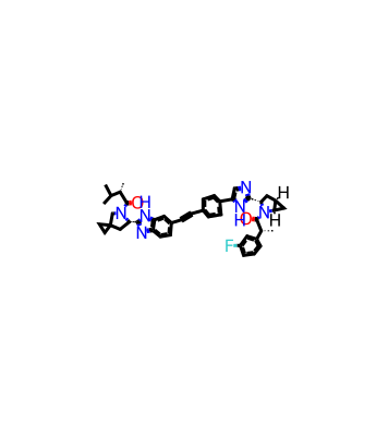 CC(C)[C@H](C)C(=O)N1CC2(CC2)C[C@H]1c1nc2ccc(C#Cc3ccc(-c4cnc([C@@H]5C[C@H]6C[C@H]6N5C(=O)[C@H](C)c5cccc(F)c5)[nH]4)cc3)cc2[nH]1